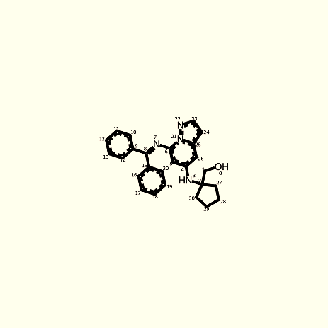 OCC1(Nc2cc(N=C(c3ccccc3)c3ccccc3)n3nccc3c2)CCCC1